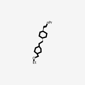 CCC/C=C/[C@H]1CC[C@H](CCC2CCC(COCC)CC2)CC1